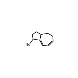 CCCCC1CCC2CCC=CC=C21